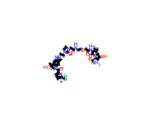 CC(C)(O)c1cc2nn(CCN3CCN(CC(=O)NCCOCC(=O)N[C@H](C(=O)N4C[C@H](O)C[C@H]4C(N)=O)C(C)(C)C)C3=O)cc2cc1NC(=O)c1cccc(C(F)(F)F)n1